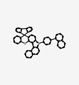 c1ccc2c(c1)Sc1c(ccc3c1c1c4ccccc4ccc1n3-c1ccc(-c3cccc4ccccc34)cc1)C21c2ccccc2-c2ccccc21